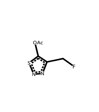 CC(=O)Oc1snnc1CF